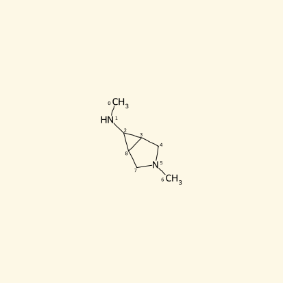 CNC1C2CN(C)CC21